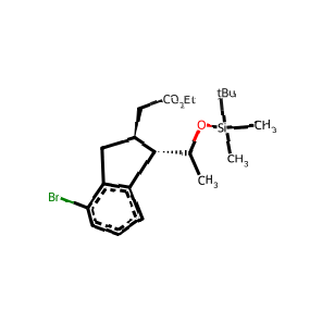 CCOC(=O)C[C@@H]1Cc2c(Br)cccc2[C@H]1C(C)O[Si](C)(C)C(C)(C)C